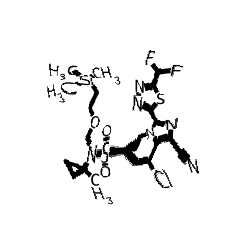 CC1(N(COCC[Si](C)(C)C)S(=O)(=O)c2cc(Cl)c3c(C#N)nc(-c4nnc(C(F)F)s4)n3c2)CC1